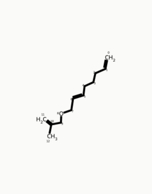 C=CCCCC=CCOCC(=C)C